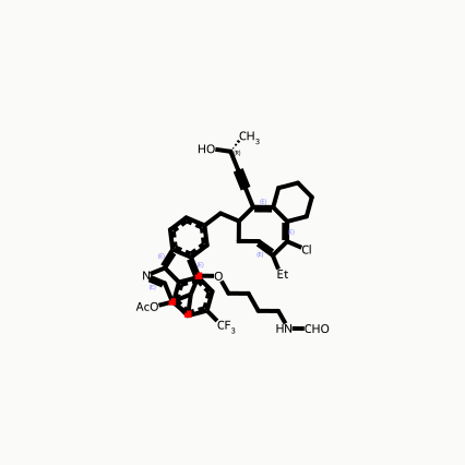 CCC1=C/CC(Cc2ccc3/c(c2)=C(/OCCCCNC=O)C2CC2/C=N/C=3c2ccc(C(F)(F)F)cc2OC(C)=O)/C(C#C[C@@H](C)O)=C2/CCCC/C2=C/1Cl